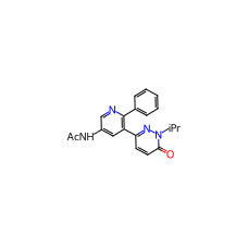 CC(=O)Nc1cnc(-c2ccccc2)c(-c2ccc(=O)n(C(C)C)n2)c1